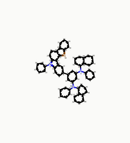 c1ccc(N(c2cc(-c3ccc4c(c3)c3c5sc6ccccc6c5ccc3n4-c3ccccc3)cc(N(c3ccccc3)c3cccc4ccccc34)c2)c2cccc3ccccc23)cc1